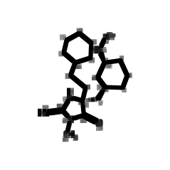 CCCN[C@H]1CCC[C@@H](C[C@@]2(CCC3CCCCC3)NC(=N)N(C)C2=O)C1